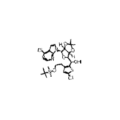 CC1(C)O[C@H]2[C@@H](O1)[C@H](n1ccc3c(Cl)ncnc31)O[C@@H]2[C@@H](O)c1sc(Cl)cc1CCO[Si](C)(C)C(C)(C)C